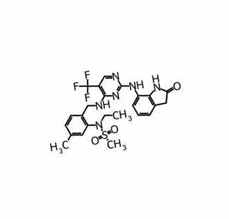 CCN(c1cc(C)ccc1CNc1nc(Nc2cccc3c2NC(=O)C3)ncc1C(F)(F)F)S(C)(=O)=O